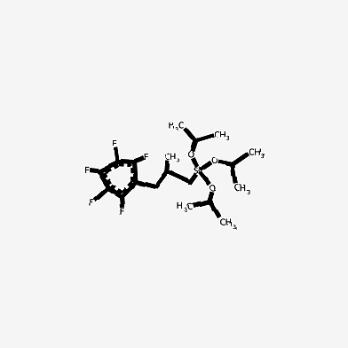 CC(Cc1c(F)c(F)c(F)c(F)c1F)C[Si](OC(C)C)(OC(C)C)OC(C)C